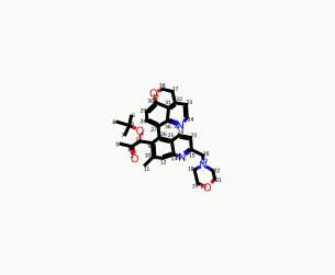 CC(=O)[C@@H](OC(C)(C)C)c1c(C)cc2nc(CN3CCOCC3)ccc2c1-c1ccc2c3c(ccnc13)CCO2